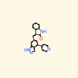 O=C1Nc2ccccc2C1=Cc1cc(-c2ccncc2)c2cn[nH]c2c1